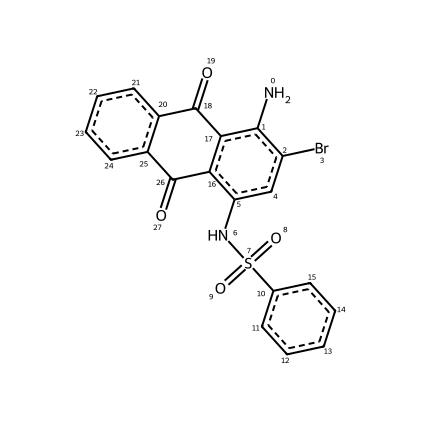 Nc1c(Br)cc(NS(=O)(=O)c2ccccc2)c2c1C(=O)c1ccccc1C2=O